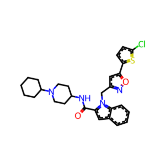 O=C(NC1CCN(C2CCCCC2)CC1)c1cc2ccccc2n1Cc1cc(-c2ccc(Cl)s2)on1